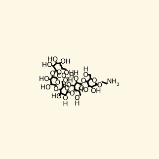 NCCO[C@H]1OC(CO)[C@H](O[C@H]2OC(CO)[C@@H](O[C@@H]3OC(CO)[C@@H](O[C@@H]4OC(C(=O)O)[C@@H](O[C@H]5OC(CO)[C@@H](O)C(O)C5O)C(O)C4O)C(O)C3O)C(O)C2O)C(O)C1O